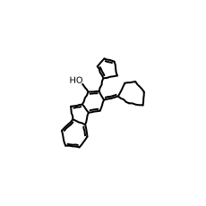 Oc1c(C2=CC=CC2)c(=C2CCCCC2)cc2c1=Cc1ccccc1-2